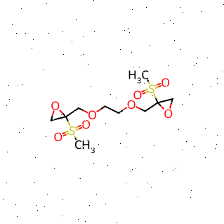 CS(=O)(=O)C1(COCCOCC2(S(C)(=O)=O)CO2)CO1